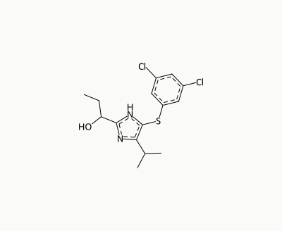 CCC(O)c1nc(C(C)C)c(Sc2cc(Cl)cc(Cl)c2)[nH]1